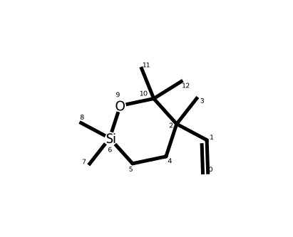 C=CC1(C)CC[Si](C)(C)OC1(C)C